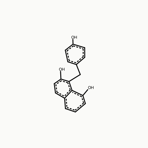 Oc1ccc(Cc2c(O)ccc3cccc(O)c23)cc1